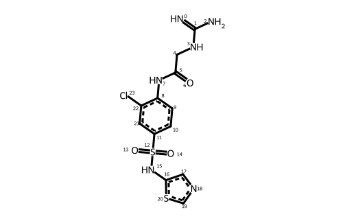 N=C(N)NCC(=O)Nc1ccc(S(=O)(=O)Nc2cncs2)cc1Cl